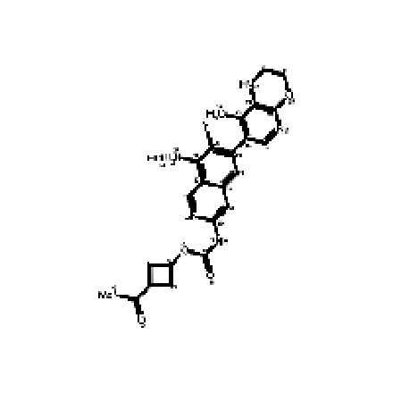 CNC(=O)C1CC(OC(=O)Nc2cc3cc(-c4cnc5c(c4C)NCCO5)c(F)c(N)c3cn2)C1.Cl